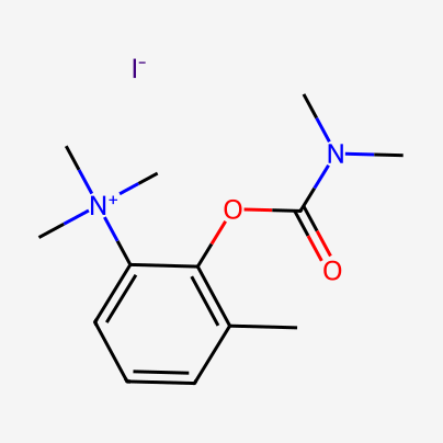 Cc1cccc([N+](C)(C)C)c1OC(=O)N(C)C.[I-]